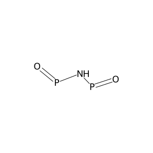 O=PNP=O